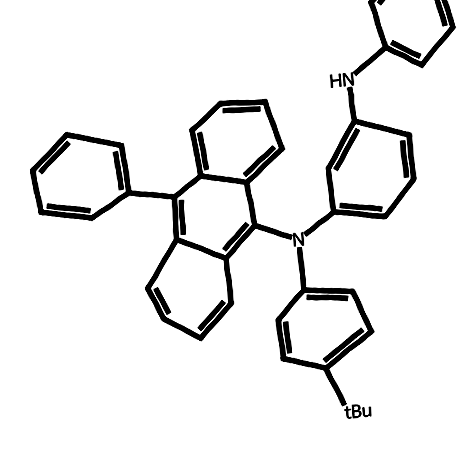 CC(C)(C)c1ccc(N(c2cccc(Nc3ccccc3)c2)c2c3ccccc3c(-c3ccccc3)c3ccccc23)cc1